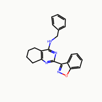 c1ccc(CNc2nc(-c3noc4ccccc34)nc3c2CCCC3)cc1